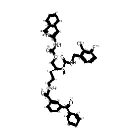 CN(C(=O)NCc1cccc(F)c1Cl)[C@@H](CCCNC(=O)c1cccc(C(=O)c2ccccc2)c1)COC(=O)Nc1cc2ccccc2cn1